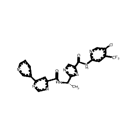 C[C@H](NC(=O)c1cc(-c2cccnc2)ncn1)c1ncc(C(=O)Nc2cc(C(F)(F)F)c(Cl)cn2)s1